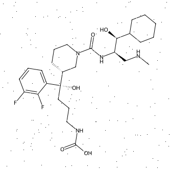 CNC[C@@H](NC(=O)N1CCC[C@@H]([C@@](O)(CCCNC(=O)O)c2cccc(F)c2F)C1)[C@@H](O)C1CCCCC1